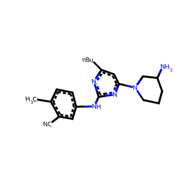 CCCCc1cc(N2CCCC(N)C2)nc(Nc2ccc(C)c(C#N)c2)n1